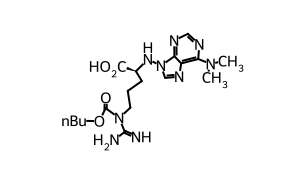 CCCCOC(=O)N(CCC[C@H](Nn1cnc2c(N(C)C)ncnc21)C(=O)O)C(=N)N